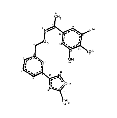 CC(=NOCc1cccc(-c2noc(C)n2)c1)c1cc(O)c(O)c(F)c1